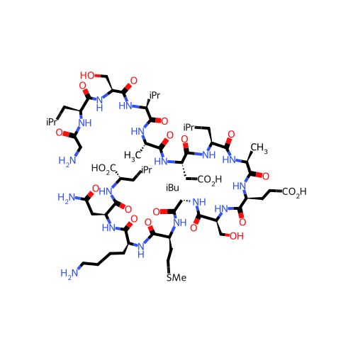 CC[C@H](C)[C@H](NC(=O)[C@H](CO)NC(=O)[C@H](CCC(=O)O)NC(=O)[C@H](C)NC(=O)[C@H](CC(C)C)NC(=O)[C@H](CC(=O)O)NC(=O)[C@H](C)NC(=O)[C@@H](NC(=O)[C@H](CO)NC(=O)[C@H](CC(C)C)NC(=O)CN)C(C)C)C(=O)N[C@@H](CCSC)C(=O)N[C@@H](CCCCN)C(=O)N[C@@H](CC(N)=O)C(=O)N[C@@H](CC(C)C)C(=O)O